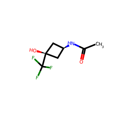 CC(=O)N[C@H]1C[C@](O)(C(F)(F)F)C1